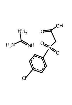 N=C(N)N.O=C(O)CS(=O)(=O)c1ccc(Cl)cc1